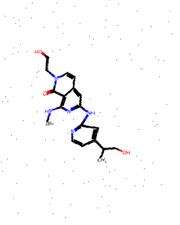 CC(CO)c1ccnc(Nc2cc3ccn(CCO)c(=O)c3c(NC(C)(C)C)n2)c1